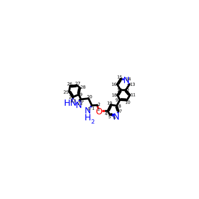 NC(COc1cncc(-c2ccc3cnccc3c2)c1)Cc1n[nH]c2ccccc12